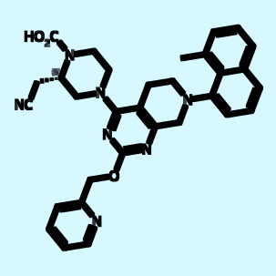 Cc1cccc2cccc(N3CCc4c(nc(OCc5ccccn5)nc4N4CCN(C(=O)O)[C@@H](CC#N)C4)C3)c12